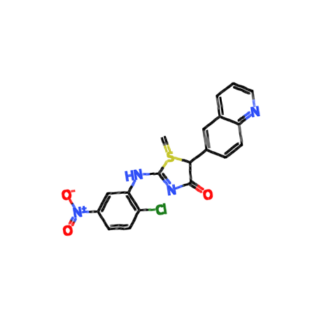 C=S1C(Nc2cc([N+](=O)[O-])ccc2Cl)=NC(=O)C1c1ccc2ncccc2c1